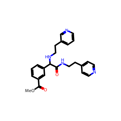 COC(=O)c1cccc(C(NCCc2cccnc2)C(=O)NCCc2ccncc2)c1